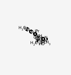 C=Cc1cnc(Nc2cc(C(C)C)c(N3CCC(N4CCN(C)CC4)CC3)cc2OC)nc1Nc1ccc2nccnc2c1P(C)(C)=O